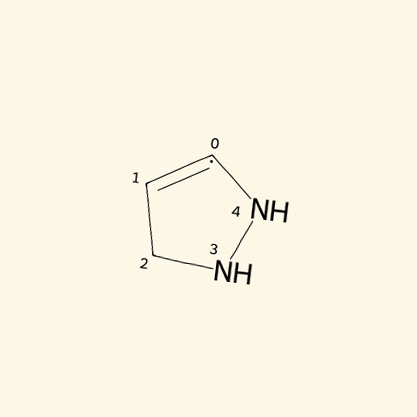 [C]1=CCNN1